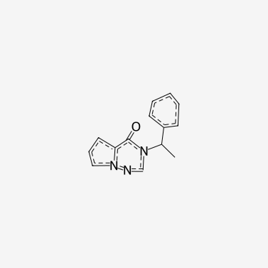 CC(c1ccccc1)n1cnn2cccc2c1=O